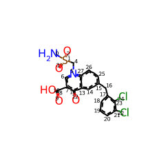 NS(=O)(=O)Cn1cc(C(=O)O)c(=O)c2cc(Cc3cccc(Cl)c3Cl)ccc21